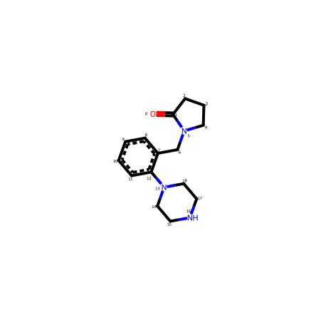 O=C1C[CH]CN1Cc1ccccc1N1CCNCC1